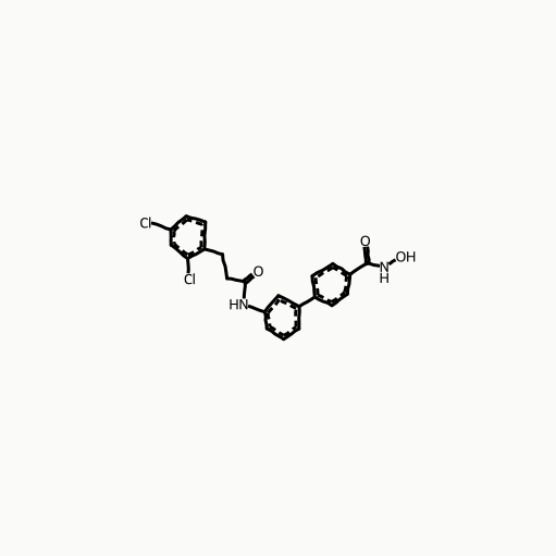 O=C(CCc1ccc(Cl)cc1Cl)Nc1cccc(-c2ccc(C(=O)NO)cc2)c1